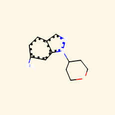 Nc1ccc2cnn(C3CCOCC3)c2c1